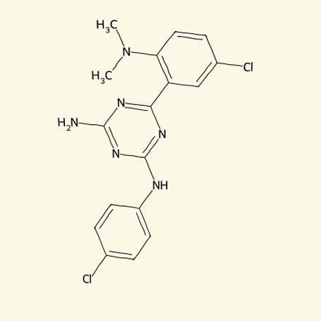 CN(C)c1ccc(Cl)cc1-c1nc(N)nc(Nc2ccc(Cl)cc2)n1